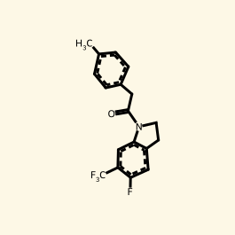 Cc1ccc(CC(=O)N2CCc3cc(F)c(C(F)(F)F)cc32)cc1